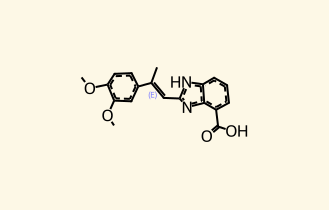 COc1ccc(/C(C)=C/c2nc3c(C(=O)O)cccc3[nH]2)cc1OC